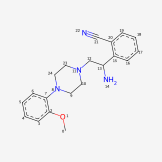 COc1ccccc1N1CCN(CC(N)c2ccccc2C#N)CC1